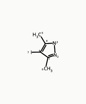 CC1=N[N]C(C)=C1I